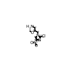 COC(CN)Cn1cc([N+](=O)[O-])nc1Cl